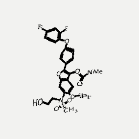 CNC(=O)Oc1c(-c2ccc(Oc3ccc(F)cc3F)cc2)oc2cc(N(CCO)S(C)(=O)=O)c(OC(C)C)cc12